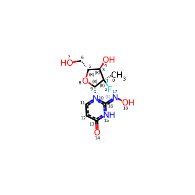 C[C@@]1(F)[C@H](O)[C@@H](CO)O[C@H]1n1ccc(=O)[nH]/c1=N\O